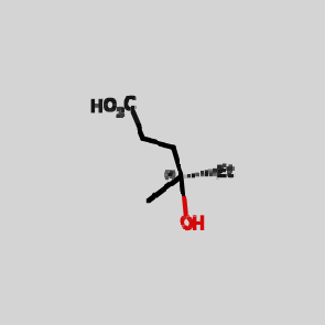 CC[C@@](C)(O)CCC(=O)O